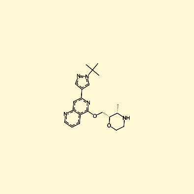 C[C@@H]1NCCO[C@@H]1COc1nc(-c2cnn(C(C)(C)C)c2)cc2ncccc12